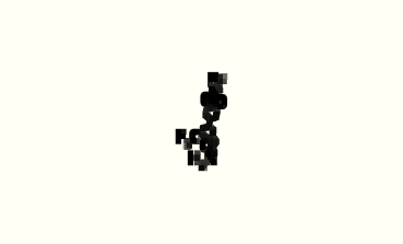 NCc1cc2cc(-c3ccc(S(=O)(=O)N4CC(F)(F)C4)cc3)cc(C(F)(F)F)c2o1